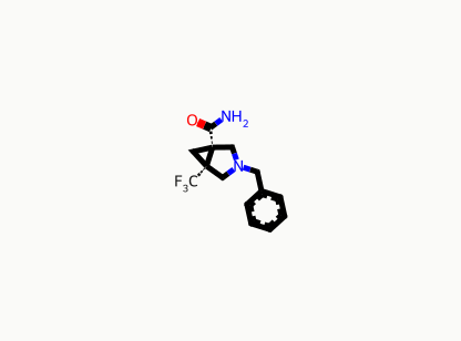 NC(=O)[C@]12CN(Cc3ccccc3)C[C@@]1(C(F)(F)F)C2